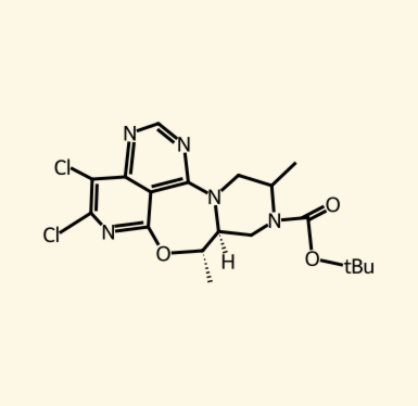 CC1CN2c3ncnc4c(Cl)c(Cl)nc(c34)O[C@@H](C)[C@@H]2CN1C(=O)OC(C)(C)C